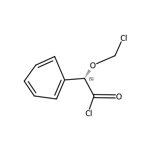 O=C(Cl)[C@@H](OCCl)c1ccccc1